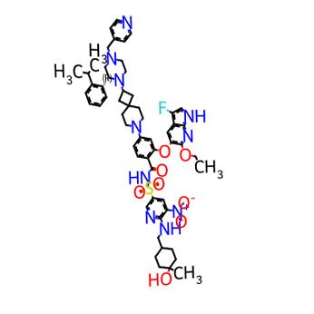 CCOc1nc2[nH]cc(F)c2cc1Oc1cc(N2CCC3(CC2)CC(N2CCN(Cc4ccncc4)C[C@H]2c2ccccc2C(C)C)C3)ccc1C(=O)NS(=O)(=O)c1cnc(NCC2CCC(C)(O)CC2)c([N+](=O)[O-])c1